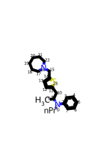 CCCN(c1ccccc1)C(C)Cc1ccc(CN2CCCCCC2)s1